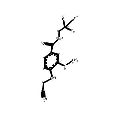 C#CCNc1ccc(C(=O)NCC(F)(F)F)cc1OC